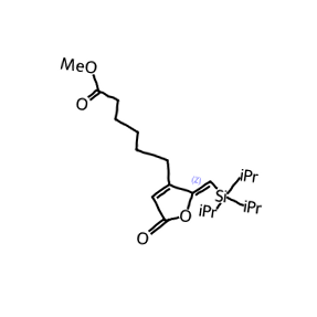 COC(=O)CCCCCC1=CC(=O)O/C1=C\[Si](C(C)C)(C(C)C)C(C)C